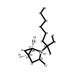 CCCCCCC(C)(CC)N1C(C)C[C@@]2(C)C[C@@H]12